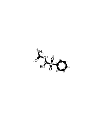 CCC(OC(N)=O)S(=O)(=O)c1ccccc1